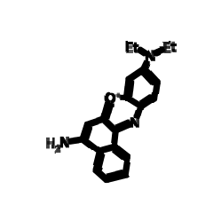 CCN(CC)c1ccc2nc3c(cc(N)c4ccccc43)[o+]c2c1